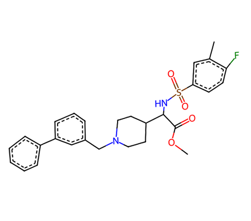 COC(=O)C(NS(=O)(=O)c1ccc(F)c(C)c1)C1CCN(Cc2cccc(-c3ccccc3)c2)CC1